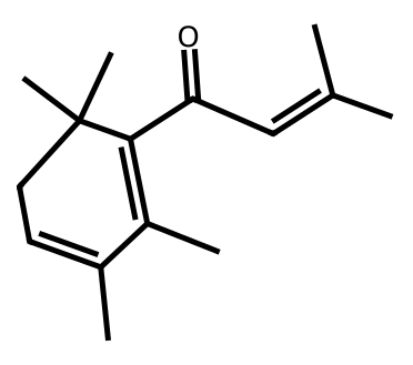 CC(C)=CC(=O)C1=C(C)C(C)=CCC1(C)C